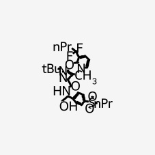 CCCC(F)(F)c1cccnc1Oc1c(C)c(C(=O)NC(CO)c2ccc(S(=O)(=O)CCC)cc2)nn1C(C)(C)C